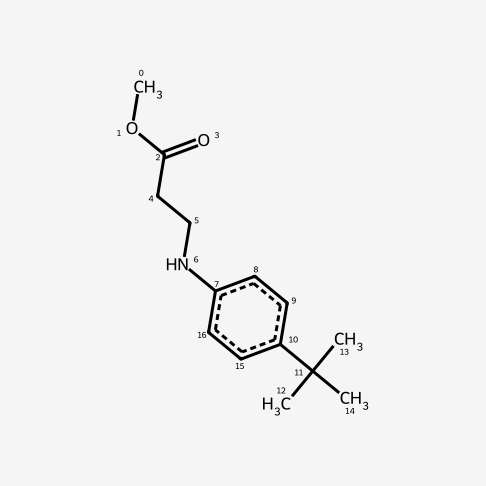 COC(=O)CCNc1ccc(C(C)(C)C)cc1